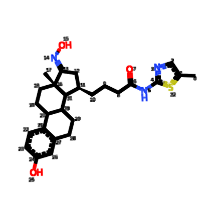 Cc1cnc(NC(=O)CCC[C@@H]2C/C(=N\O)[C@@]3(C)CCC4c5ccc(O)cc5CCC4C23)s1